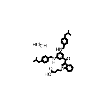 CC(C)Cc1ccc(CNc2cc(NCc3ccc(CC(C)C)cc3)cc(C(=O)c3cn(CCCC(=O)O)c4ccccc34)c2)cc1.Cl.Cl